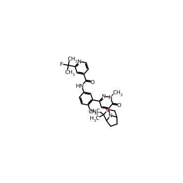 Cc1ccc(NC(=O)c2ccnc(C(C)(C)F)c2)cc1-c1cc(N2C3CCC2C(C)(C)OC3)c(=O)n(C)n1